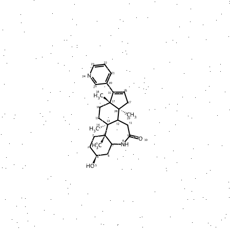 C[C@]12CC[C@H](O)CC1NC(=O)CC1[C@]2(C)CC[C@]2(C)C(c3cccnc3)=CC[C@@]12C